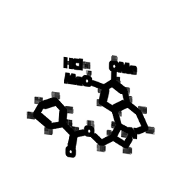 COc1cc2c(cc1OC)C1C(COC(=O)c3ccccc3)CN1CC2.Cl